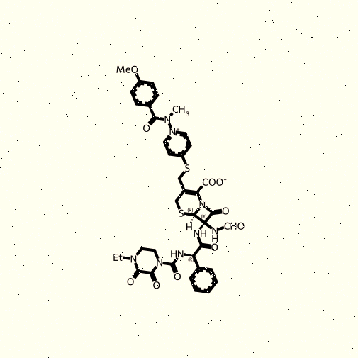 CCN1CCN(C(=O)N[C@@H](C(=O)N[C@]2(NC=O)C(=O)N3C(C(=O)[O-])=C(CSc4cc[n+](N(C)C(=O)c5ccc(OC)cc5)cc4)CS[C@@H]32)c2ccccc2)C(=O)C1=O